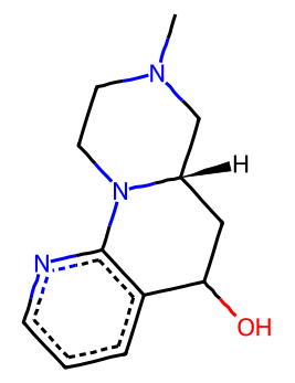 CN1CCN2c3ncccc3C(O)C[C@H]2C1